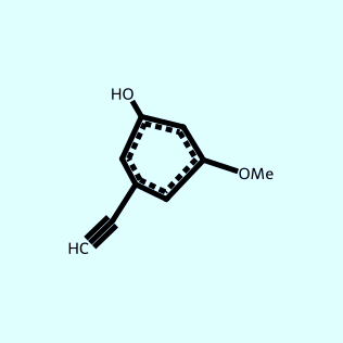 C#Cc1cc(O)cc(OC)c1